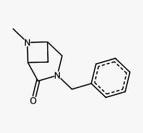 CN1C2CC1C(=O)N(Cc1ccccc1)C2